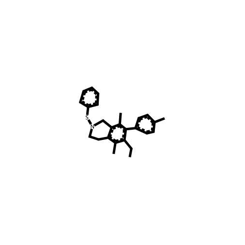 CCc1c(C)c2c(c(C)c1-c1ccc(C)cc1)CN(Sc1ccccc1)CC2